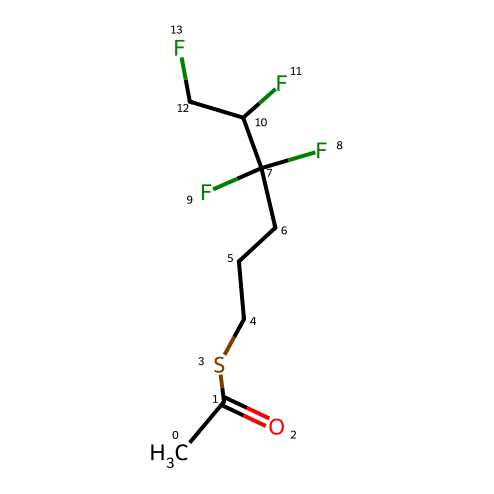 CC(=O)SCCCC(F)(F)C(F)CF